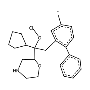 Fc1ccc(-c2ccccc2)c(CC(OCl)(C2CCCC2)C2CNCCO2)c1